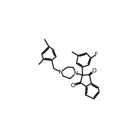 Cc1cc(F)cc(C2(N3CCN(Cc4ccc(C)cc4C)CC3)C(=O)c3ccccc3C2=O)c1